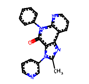 Cc1nc2c3cccnc3n(-c3ccccc3)c(=O)c2n1-c1cccnc1